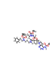 CN(C(=O)OC(C)(C)C)c1ncnc2c1ccn2[C@@H]1C[C@H](CN(CCCN(CCc2ccccc2)C(=O)OC(C)(C)C)CC[C@H](NC(=O)OC(C)(C)C)C(=O)O)[C@H]2OC(C)(C)O[C@H]21